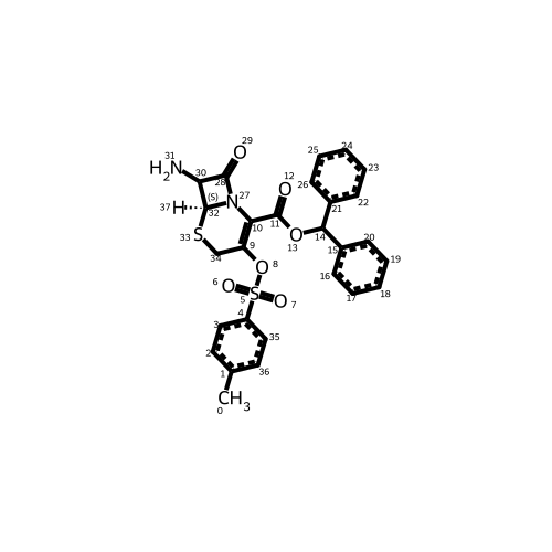 Cc1ccc(S(=O)(=O)OC2=C(C(=O)OC(c3ccccc3)c3ccccc3)N3C(=O)C(N)[C@@H]3SC2)cc1